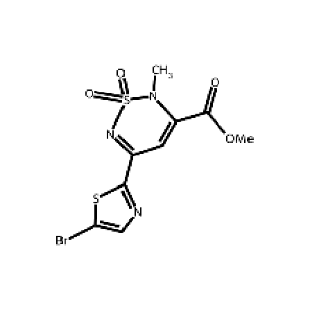 COC(=O)C1=CC(c2ncc(Br)s2)=NS(=O)(=O)N1C